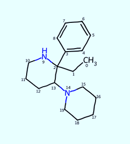 CCC1(c2ccccc2)NCCCC1N1CCCCC1